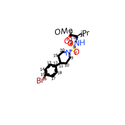 COC(=O)[C@H](NS(=O)(=O)N1CCC(c2ccc(Br)cc2)CC1)C(C)C